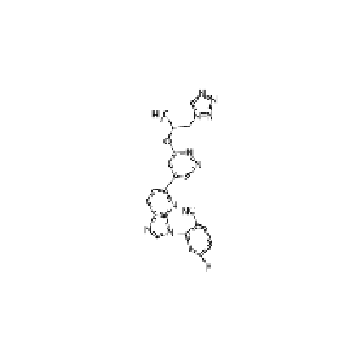 CC(Cn1cnnn1)Oc1cc(-c2ccc3ncn(-c4cc(F)ccc4C#N)c3n2)cnn1